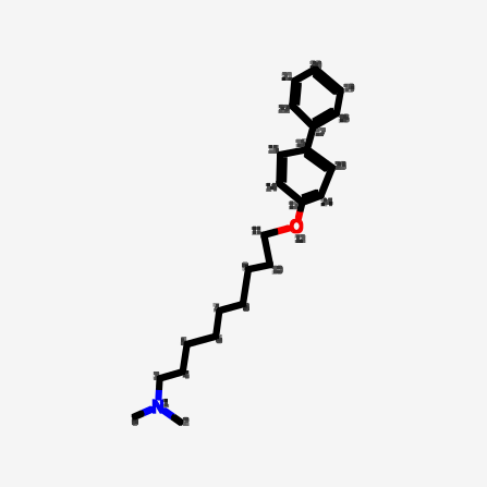 CN(C)CCCCCCCCCOc1ccc(-c2ccccc2)cc1